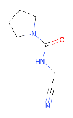 N#CCNC(=O)N1CCCC1